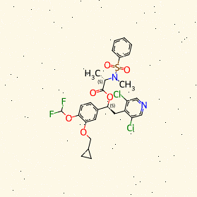 C[C@@H](C(=O)O[C@@H](Cc1c(Cl)cncc1Cl)c1ccc(OC(F)F)c(OCC2CC2)c1)N(C)S(=O)(=O)c1ccccc1